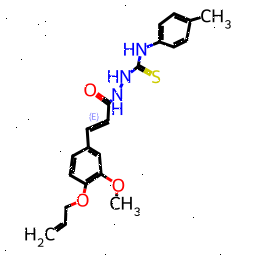 C=CCOc1ccc(/C=C/C(=O)NNC(=S)Nc2ccc(C)cc2)cc1OC